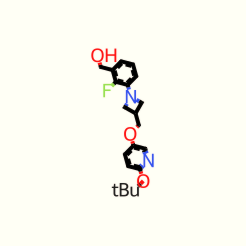 CC(C)(C)Oc1ccc(OCC2CN(c3cccc(CO)c3F)C2)cn1